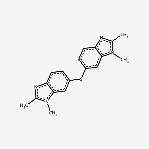 Cc1nc2ccc(Sc3ccc4nc(C)n(C)c4c3)cc2n1C